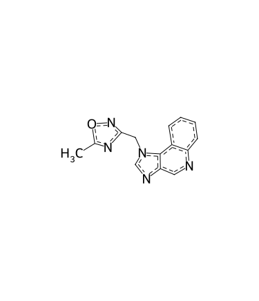 Cc1nc(Cn2cnc3cnc4ccccc4c32)no1